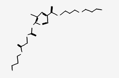 CCCCOCCCNC(=O)c1cnc(OC(=O)NCC(=O)OCCCC)c(O)c1